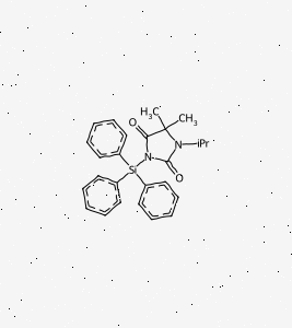 CC(C)N1C(=O)N([Si](c2ccccc2)(c2ccccc2)c2ccccc2)C(=O)C1(C)C